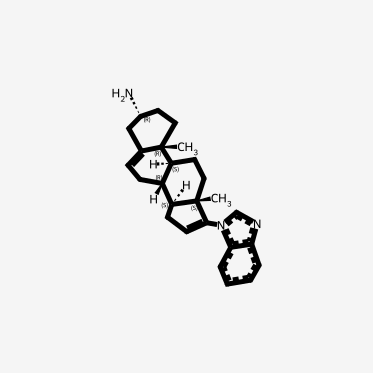 C[C@]12CC[C@@H](N)CC1=CC[C@@H]1[C@@H]2CC[C@]2(C)C(n3cnc4ccccc43)=CC[C@@H]12